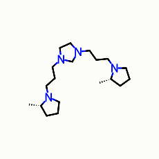 C[C@H]1CCCN1CCCN1CCN(CCCN2CCC[C@@H]2C)C1